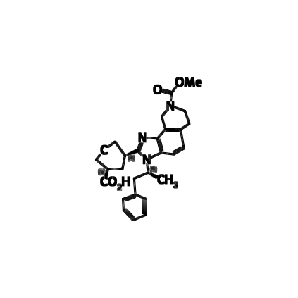 COC(=O)N1CCc2ccc3c(nc([C@@H]4CCC[C@H](C(=O)O)C4)n3[C@@H](C)Cc3ccccc3)c2C1